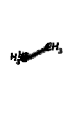 CCCCCCCCC=CCCCCC(S)CC(=O)OC